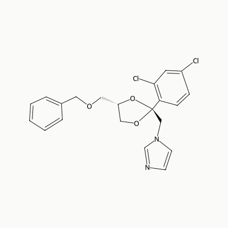 Clc1ccc([C@]2(Cn3ccnc3)OC[C@H](COCc3ccccc3)O2)c(Cl)c1